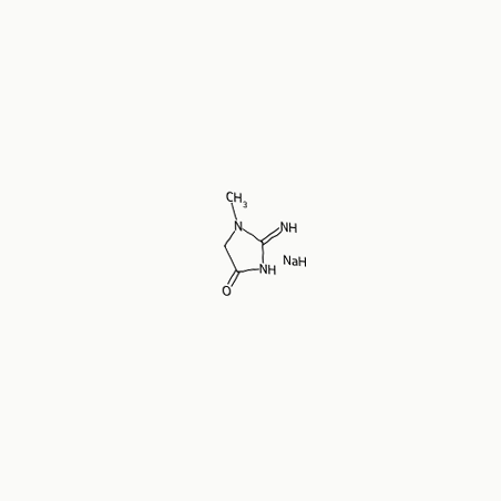 CN1CC(=O)NC1=N.[NaH]